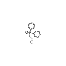 O=P(CCCl)(c1ccccc1)c1ccccc1